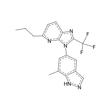 CCCc1ccc2nc(C(F)(F)F)n(-c3cc(C)c4[nH]ncc4c3)c2n1